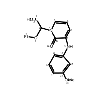 CCOC(C(=O)O)n1cccc(Nc2cccc(OC)c2)c1=O